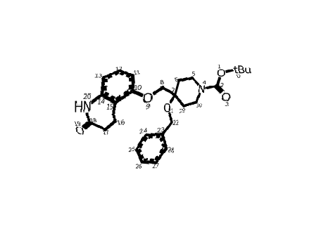 CC(C)(C)OC(=O)N1CCC(COc2cccc3c2CCC(=O)N3)(OCc2ccccc2)CC1